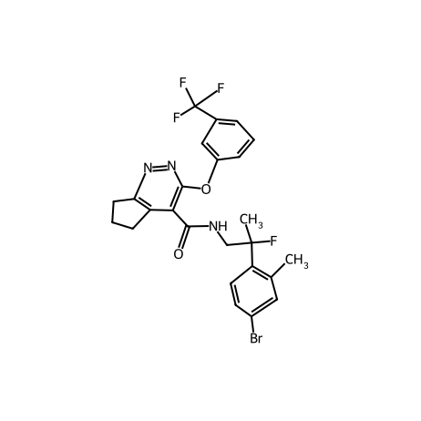 Cc1cc(Br)ccc1C(C)(F)CNC(=O)c1c(Oc2cccc(C(F)(F)F)c2)nnc2c1CCC2